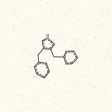 c1ccc(Cc2c[nH]cc2Cc2ccccc2)cc1